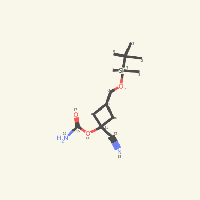 CC(C)(C)[Si](C)(C)OCC1CC(C#N)(OC(N)=O)C1